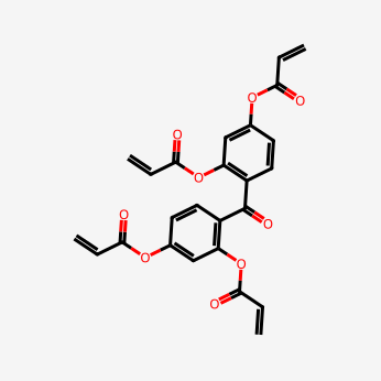 C=CC(=O)Oc1ccc(C(=O)c2ccc(OC(=O)C=C)cc2OC(=O)C=C)c(OC(=O)C=C)c1